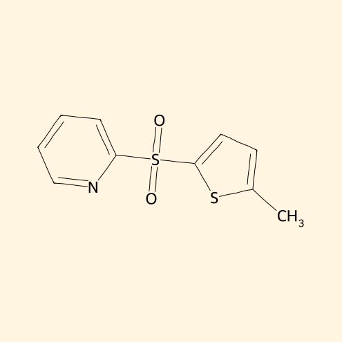 Cc1ccc(S(=O)(=O)c2ccccn2)s1